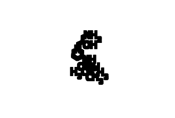 CC(C)(C)NC(=O)N[C@@H]1CCCN(CC(O)CN)C1